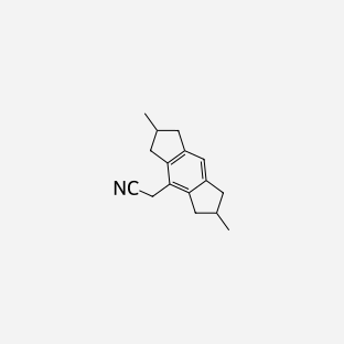 CC1Cc2cc3c(c(CC#N)c2C1)CC(C)C3